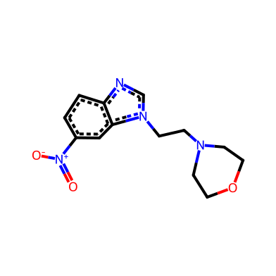 O=[N+]([O-])c1ccc2ncn(CCN3CCOCC3)c2c1